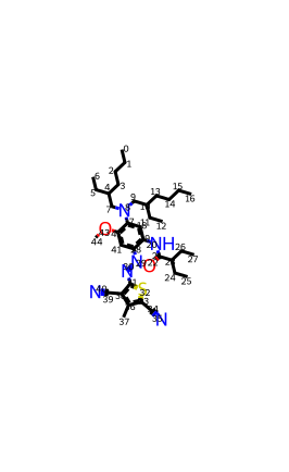 CCCCC(CC)CN(CC(CC)CCCC)c1cc(NC(=O)C(CC)CC)c(/N=N/c2sc(C#N)c(C)c2C#N)cc1OC